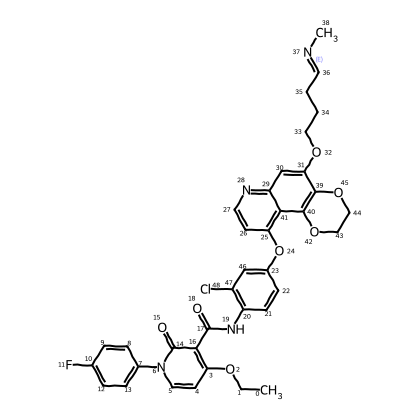 CCOc1ccn(-c2ccc(F)cc2)c(=O)c1C(=O)Nc1ccc(Oc2ccnc3cc(OCCC/C=N/C)c4c(c23)OCCO4)cc1Cl